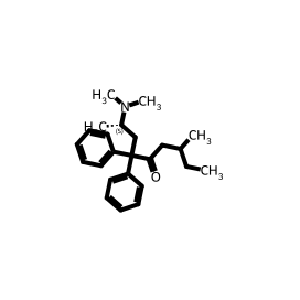 CCC(C)CC(=O)C(C[C@H](C)N(C)C)(c1ccccc1)c1ccccc1